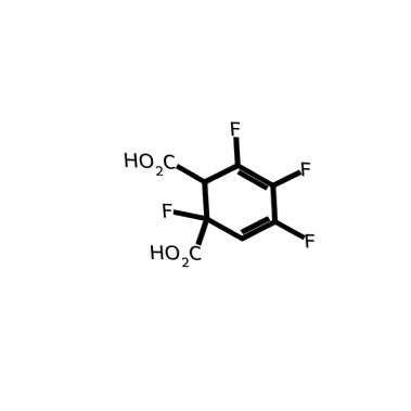 O=C(O)C1C(F)=C(F)C(F)=CC1(F)C(=O)O